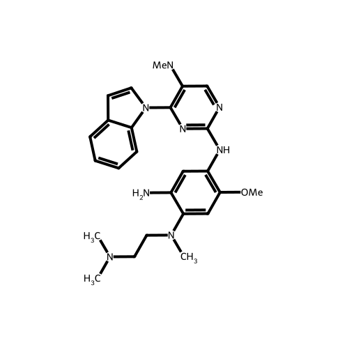 CNc1cnc(Nc2cc(N)c(N(C)CCN(C)C)cc2OC)nc1-n1ccc2ccccc21